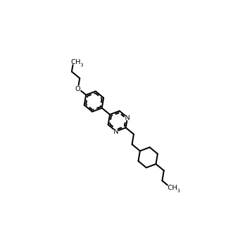 CCCOc1ccc(-c2cnc(CCC3CCC(CCC)CC3)nc2)cc1